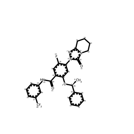 C[C@H](Oc1cc(-n2nc3n(c2=O)CCCC3)c(F)cc1C(=O)Nc1cccc(C(F)(F)F)c1)c1ccccc1